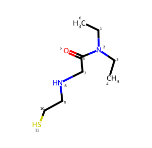 CCN(CC)C(=O)CNCCS